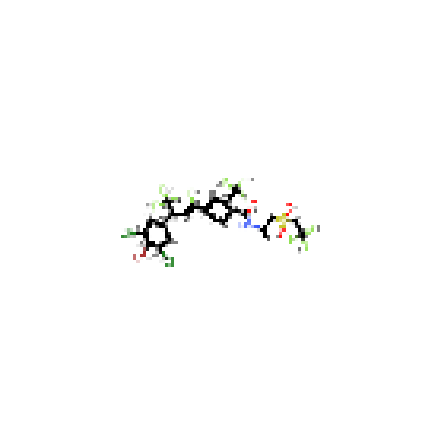 CC(CS(=O)(=O)CC(F)(F)F)NC(=O)c1ccc(/C(F)=C/C(c2cc(Cl)c(Br)c(Cl)c2)C(F)(F)F)cc1C(F)(F)F